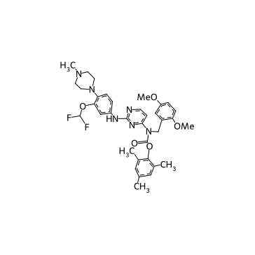 COc1ccc(OC)c(CN(C(=O)Oc2c(C)cc(C)cc2C)c2ccnc(Nc3ccc(N4CCN(C)CC4)c(OC(F)F)c3)n2)c1